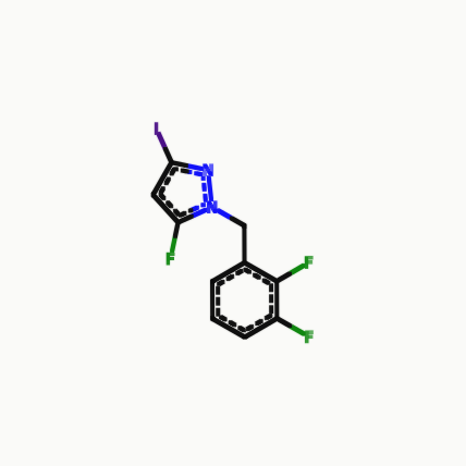 Fc1cccc(Cn2nc(I)cc2F)c1F